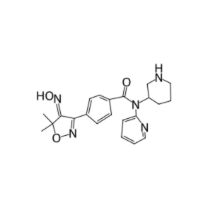 CC1(C)ON=C(c2ccc(C(=O)N(c3ccccn3)C3CCCNC3)cc2)/C1=N/O